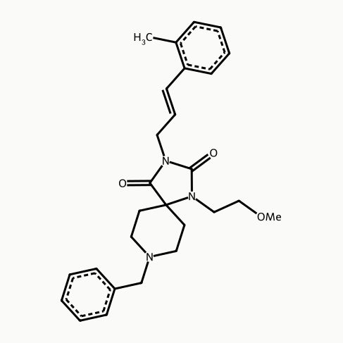 COCCN1C(=O)N(C/C=C/c2ccccc2C)C(=O)C12CCN(Cc1ccccc1)CC2